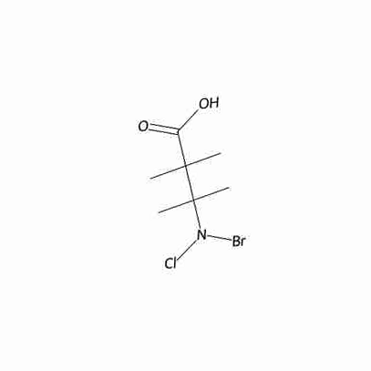 CC(C)(C(=O)O)C(C)(C)N(Cl)Br